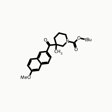 COc1ccc2cc(C(=O)C3(C)CCCN(C(=O)OC(C)(C)C)C3)ccc2c1